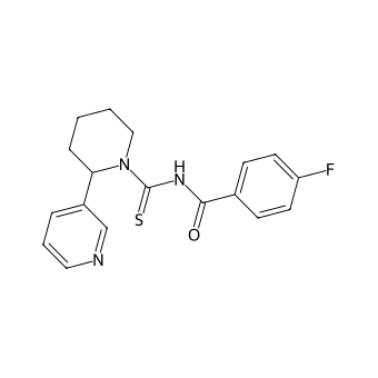 O=C(NC(=S)N1CCCCC1c1cccnc1)c1ccc(F)cc1